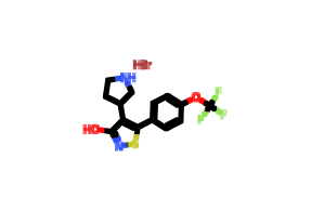 Br.Oc1nsc(-c2ccc(OC(F)(F)F)cc2)c1C1CCNC1